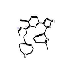 C=c1ccc(-c2c[nH]nc2-c2cccc(C)n2)n/c1=C(/C=C\C)CCC1=CCCOCC1